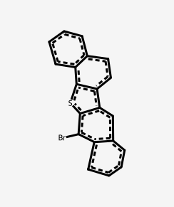 Brc1c2ccccc2cc2c1sc1c3ccccc3ccc21